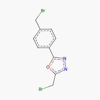 BrCc1ccc(-c2nnc(CBr)o2)cc1